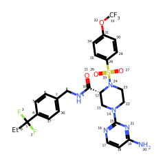 CCC(F)(F)c1ccc(CNC(=O)[C@H]2CN(c3nccc(N)n3)CCN2S(=O)(=O)c2ccc(OC(F)(F)F)cc2)cc1